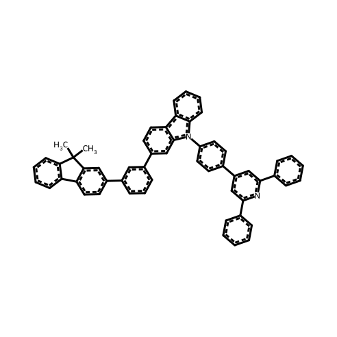 CC1(C)c2ccccc2-c2ccc(-c3cccc(-c4ccc5c6ccccc6n(-c6ccc(-c7cc(-c8ccccc8)nc(-c8ccccc8)c7)cc6)c5c4)c3)cc21